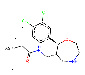 CSCC(=O)NC[C@H]1CNCCO[C@@H]1c1ccc(Cl)c(Cl)c1